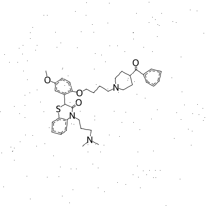 COc1ccc(OCCCCN2CCC(C(=O)c3ccccc3)CC2)c(C2Sc3ccccc3N(CCCN(C)C)C2=O)c1